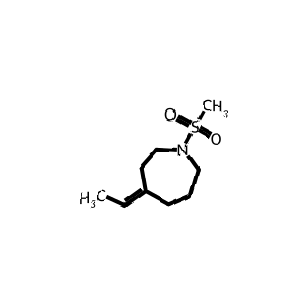 CC=C1CCCN(S(C)(=O)=O)CC1